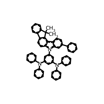 CC1(C)c2ccccc2-c2ccc3c(c21)c1ccc(-c2ccccc2)cc1n3-c1cc(N(c2ccccc2)c2ccccc2)cc(N(c2ccccc2)c2ccccc2)c1